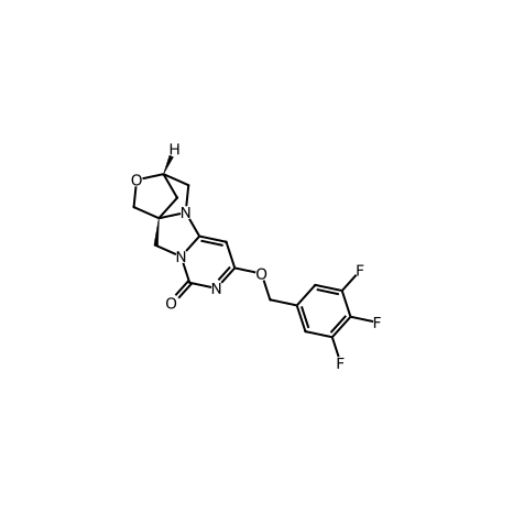 O=c1nc(OCc2cc(F)c(F)c(F)c2)cc2n1C[C@]13CO[C@H](CN21)C3